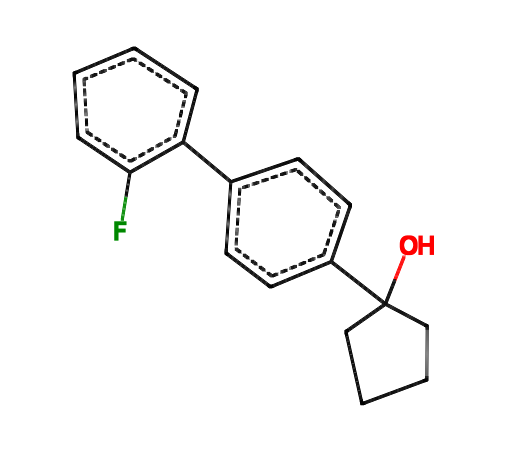 OC1(c2ccc(-c3ccccc3F)cc2)CCCC1